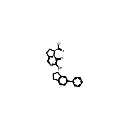 O=C(O)[C@@H]1CCc2cnc(N[C@H]3CCc4ccc(-c5ccccc5)cc43)c(=O)n21